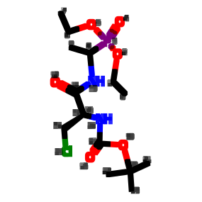 CCOP(=O)(OCC)C(C)NC(=O)[C@H](CCl)NC(=O)OC(C)(C)C